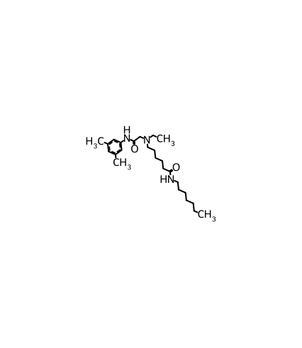 CCCCCCCNC(=O)CCCCCN(CC)CC(=O)Nc1cc(C)cc(C)c1